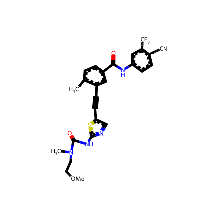 COCCN(C)C(=O)Nc1ncc(C#Cc2cc(C(=O)Nc3ccc(C#N)c(C(F)(F)F)c3)ccc2C)s1